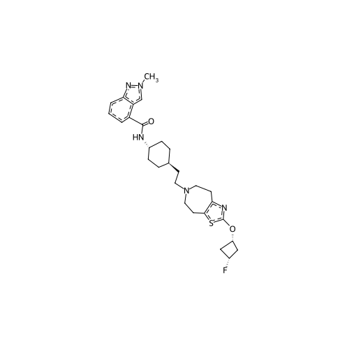 Cn1cc2c(C(=O)N[C@H]3CC[C@H](CCN4CCc5nc(O[C@H]6C[C@@H](F)C6)sc5CC4)CC3)cccc2n1